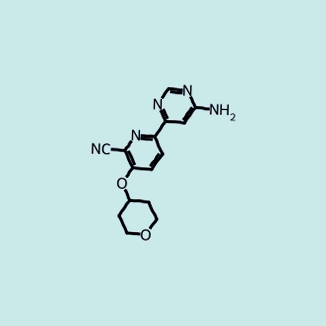 N#Cc1nc(-c2cc(N)ncn2)ccc1OC1CCOCC1